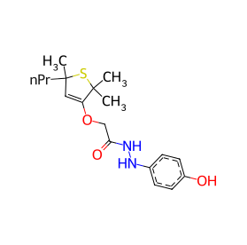 CCCC1(C)C=C(OCC(=O)NNc2ccc(O)cc2)C(C)(C)S1